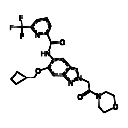 O=C(Nc1cc2cn(CC(=O)N3CCOCC3)nc2cc1OCC1CCC1)c1cccc(C(F)(F)F)n1